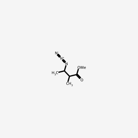 COC(=O)C(C)C(C)N=[N+]=[N-]